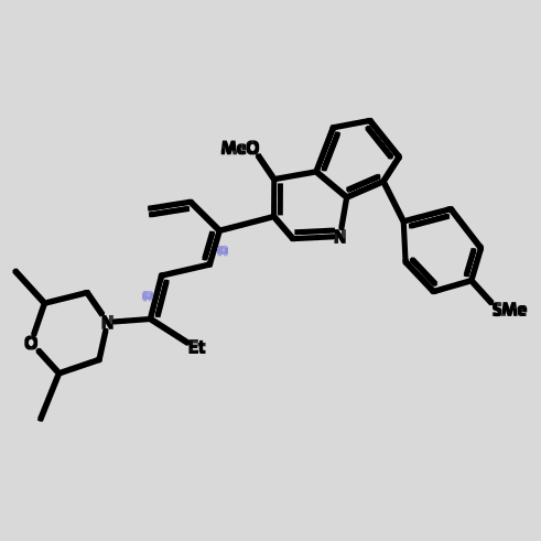 C=C/C(=C\C=C(/CC)N1CC(C)OC(C)C1)c1cnc2c(-c3ccc(SC)cc3)cccc2c1OC